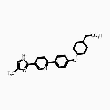 O=C(O)C[C@H]1CC[C@H](Oc2ccc(-c3ccc(-c4nc(C(F)(F)F)c[nH]4)cn3)cc2)CC1